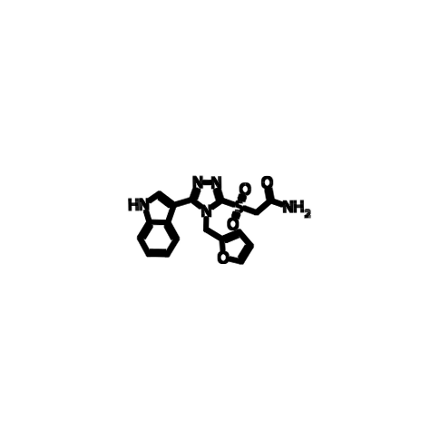 NC(=O)CS(=O)(=O)c1nnc(-c2c[nH]c3ccccc23)n1Cc1ccco1